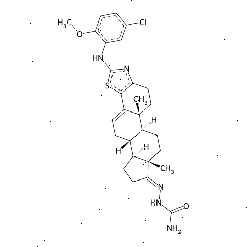 COc1ccc(Cl)cc1Nc1nc2c(s1)C1=CC[C@@H]3[C@H](CC[C@]4(C)/C(=N/NC(N)=O)CC[C@@H]34)[C@@]1(C)CC2